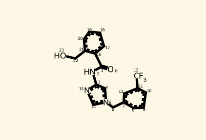 O=C(Nc1cn(Cc2cccc(C(F)(F)F)c2)cn1)c1ccccc1CO